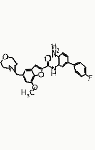 COc1cc(CN2CCOCC2)cc2cc(C(=O)Nc3cc(-c4ccc(F)cc4)ccc3N)oc12